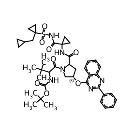 CC(C)(C)OC(=O)NC(C(=O)N1C[C@H](Oc2nc(-c3ccccc3)nc3ccccc23)CC1C(=O)NC1(C(=O)NS(=O)(=O)C2(CC3CC3)CC2)CC1)C(C)(C)C